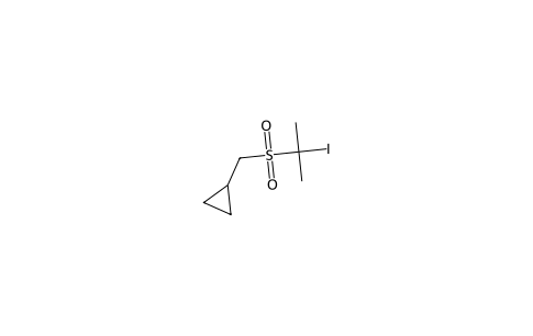 CC(C)(I)S(=O)(=O)CC1CC1